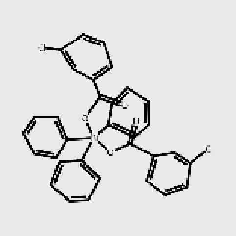 O=C([O][Bi]([O]C(=O)c1cccc(Cl)c1)([c]1ccccc1)([c]1ccccc1)[c]1ccccc1)c1cccc(Cl)c1